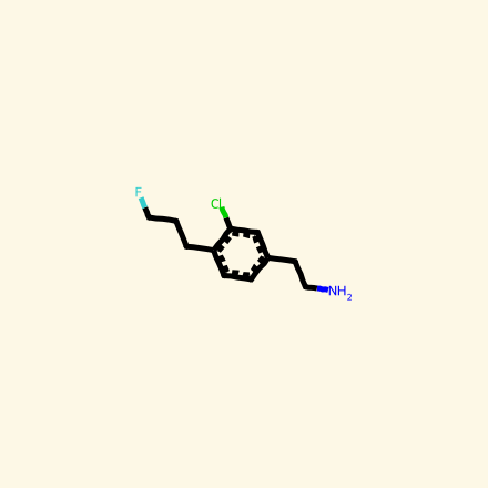 NCCc1ccc(CCCF)c(Cl)c1